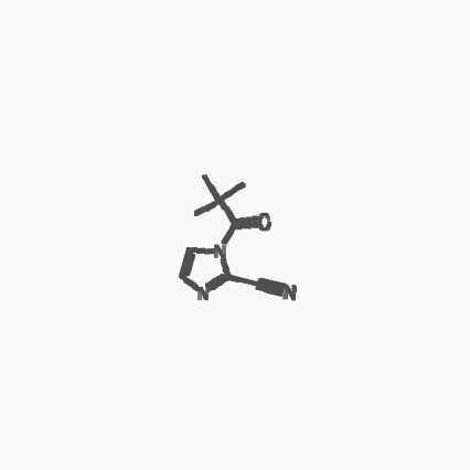 CC(C)(C)C(=O)n1ccnc1C#N